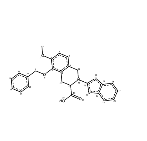 COc1ccc2c(c1OCc1ccccc1)CC(C(=O)O)N(c1nc3ccccc3s1)C2